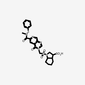 CN(Sc1ccccc1)C(=O)c1cc2c(=O)n(CS(=O)(=O)N3CC(S(=O)(=O)O)C4CCCCC43)cnc2cn1